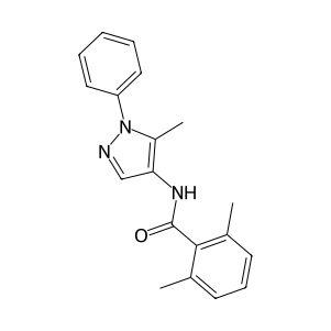 Cc1cccc(C)c1C(=O)Nc1cnn(-c2ccccc2)c1C